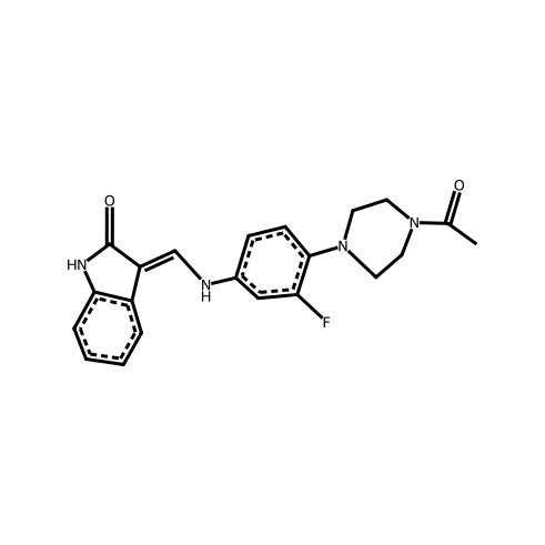 CC(=O)N1CCN(c2ccc(N/C=C3/C(=O)Nc4ccccc43)cc2F)CC1